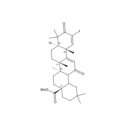 COC(=O)[C@]12CCC(C)(C)CC1C1C(=O)C=C3[C@@]4(C)C=C(I)C(=O)C(C)(C)[C@@H]4CC[C@@]3(C)[C@]1(C)CC2